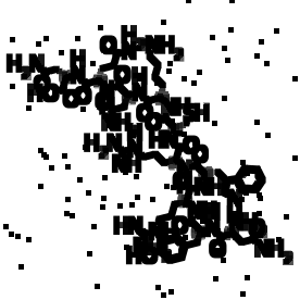 N=C(N)NCCC[C@H](NC(=O)[C@H](Cc1c[nH]c2ccccc12)NC(=O)[C@H](CCCNC(=N)N)NC(=O)[C@H](Cc1ccc(O)cc1)NC(=O)[C@@H](N)CC(N)=O)C(=O)N[C@@H](CS)C(=O)N[C@@H](CCCCN)C(=O)N[C@@H](CC(N)=O)C(=O)N[C@@H](CCC(N)=O)C(=O)N[C@@H](CC(N)=O)C(=O)O